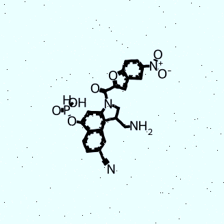 N#Cc1ccc2c(O[PH](=O)O)cc3c(c2c1)C(CN)CN3C(=O)c1cc2cc([N+](=O)[O-])ccc2o1